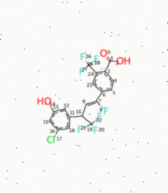 O=C(O)c1ccc(C(F)=CC(c2cc(O)cc(Cl)c2)C(F)(F)F)cc1C(F)(F)F